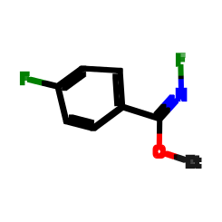 CCO/C(=N/F)c1ccc(F)cc1